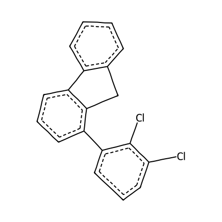 Clc1cccc(-c2cccc3c2Cc2ccccc2-3)c1Cl